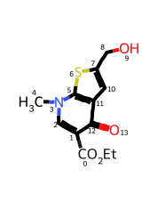 CCOC(=O)c1cn(C)c2sc(CO)cc2c1=O